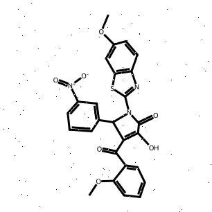 COc1ccc2nc(N3C(=O)C(O)=C(C(=O)c4ccccc4OC)C3c3cccc([N+](=O)[O-])c3)sc2c1